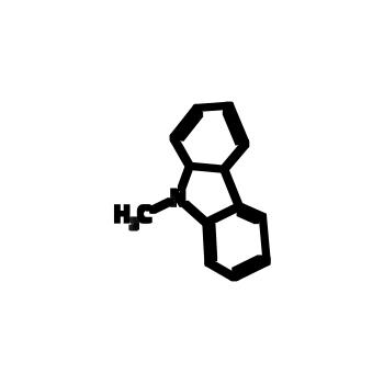 CN1c2ccccc2C2C=CC=CC21